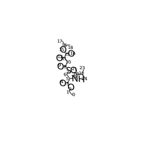 CCOC(=O)C(CSC(=O)CC(=O)C(=O)OC(C)C)NC(=O)C(C)C